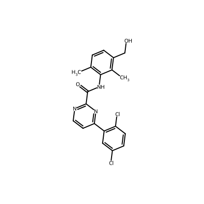 Cc1ccc(CO)c(C)c1NC(=O)c1nccc(-c2cc(Cl)ccc2Cl)n1